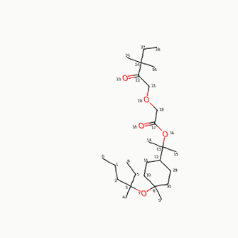 CCCC(C)(CC)OC1(C)CCC(C(C)(C)OC(=O)COCC(=O)C(C)(C)CC)CC1